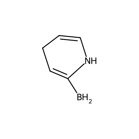 BC1=CCC=CN1